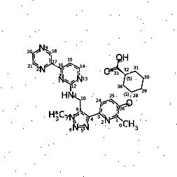 Cc1nc(-c2nnn(C)c2CNc2nccc(-c3cnccn3)n2)ccc1O[C@H]1CCC[C@H](C(=O)O)C1